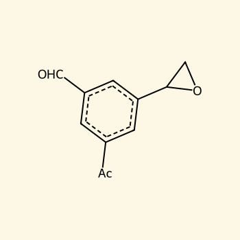 CC(=O)c1cc(C=O)cc(C2CO2)c1